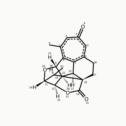 Cc1cc(=O)cc2c3c1[C@H]1O[C@H]4[C@@H]5OC(=O)[C@](CC2)([C@@H]4C)[C@H]3[C@@H]51